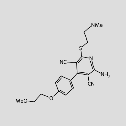 CNCCSc1nc(N)c(C#N)c(-c2ccc(OCCOC)cc2)c1C#N